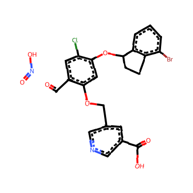 O=Cc1cc(Cl)c(OC2CCc3c(Br)cccc32)cc1OCc1cncc(C(=O)O)c1.O=NO